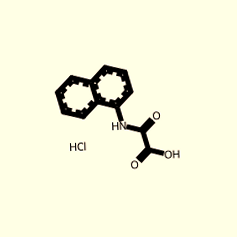 Cl.O=C(O)C(=O)Nc1cccc2ccccc12